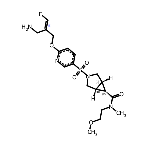 COCCN(C)C(=O)[C@H]1[C@@H]2CN(S(=O)(=O)c3ccc(OC/C(=C/F)CN)nc3)C[C@@H]21